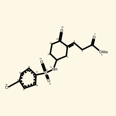 COC(=O)CC=C1CC(NS(=O)(=O)c2ccc(Cl)cc2)CCC1=O